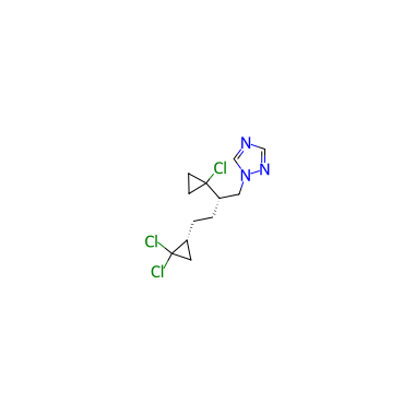 ClC1(Cl)C[C@H]1CC[C@@H](Cn1cncn1)C1(Cl)CC1